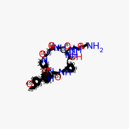 NCCOCCNC(=O)[C@@H]1CCNC(=O)/C=C/C(=O)N2CCC[C@](Cc3ccccc3)(C2)C(=O)N[C@@H](Cc2ccc(-c3ccc4occc4c3)cc2)C(=O)NCc2ccccc2CC(O)N1